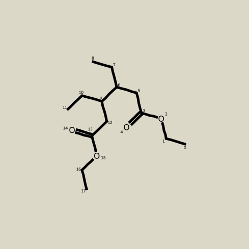 CCOC(=O)CC(CC)C(CC)CC(=O)OCC